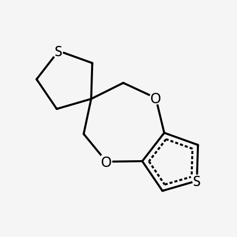 c1scc2c1OCC1(CCSC1)CO2